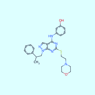 CC(Cn1ncc2c(Nc3cccc(O)c3)nc(SCCN3CCOCC3)nc21)c1ccccc1